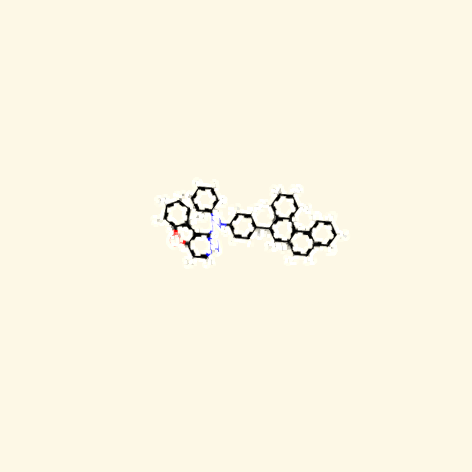 c1ccc(N(c2ccc(-c3cc4ccc5ccccc5c4c4ccccc34)cc2)c2nccc3oc4ccccc4c23)cc1